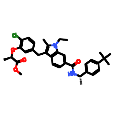 CCn1c(C)c(Cc2ccc(Cl)c(O[C@H](C)C(=O)OC)c2)c2ccc(C(=O)N[C@@H](C)c3ccc(C(C)(C)C)cc3)cc21